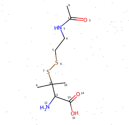 CC(=O)NCCSSC(C)(C)C(N)C(=O)O